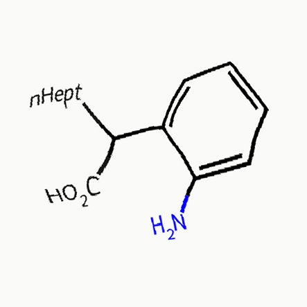 CCCCCCCC(C(=O)O)c1ccccc1N